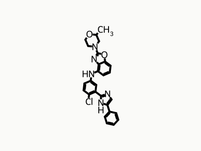 CC1CN(c2nc3c(Nc4ccc(Cl)c(-c5ncc(-c6ccccc6)[nH]5)c4)cccc3o2)CCO1